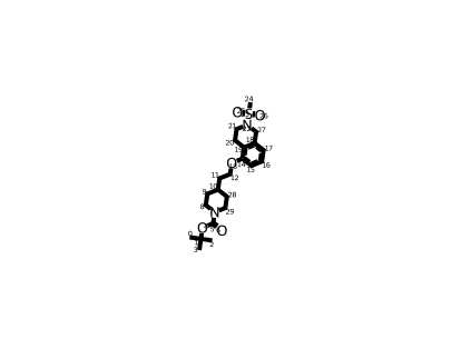 CC(C)(C)OC(=O)N1CCC(CCOc2cccc3c2CCN(S(C)(=O)=O)C3)CC1